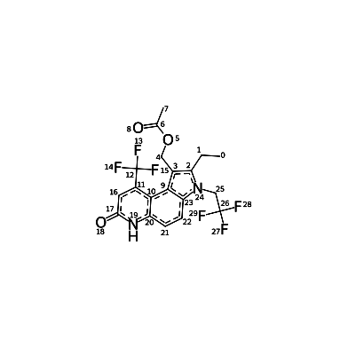 CCc1c(COC(C)=O)c2c3c(C(F)(F)F)cc(=O)[nH]c3ccc2n1CC(F)(F)F